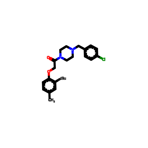 Cc1ccc(OCC(=O)N2CCN(Cc3ccc(Cl)cc3)CC2)c(C(C)(C)C)c1